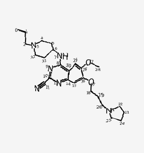 CCCN1CCC(Nc2nc(C#N)nc3cc(OCCCN4CCCC4)c(OC)cc23)CC1